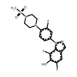 CS(=O)(=O)N1CCN(c2ccc(-n3ncc4cc(F)c(O)c(F)c43)cc2F)CC1